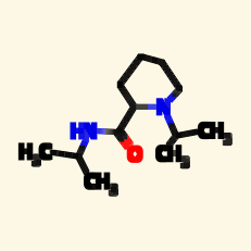 CC(C)NC(=O)C1CCCCN1C(C)C